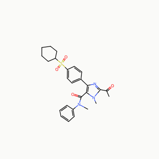 CC(=O)c1nc(-c2ccc(S(=O)(=O)C3CCCCC3)cc2)c(C(=O)N(C)c2ccccc2)n1C